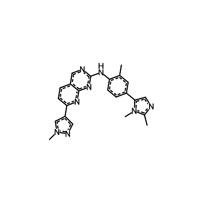 Cc1cc(-c2cnc(C)n2C)ccc1Nc1ncc2ccc(-c3cnn(C)c3)nc2n1